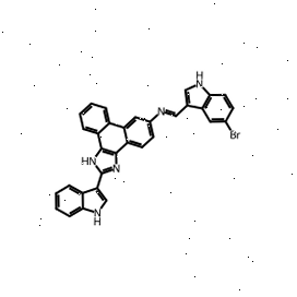 Brc1ccc2[nH]cc(C=Nc3ccc4c(c3)c3ccccc3c3[nH]c(-c5c[nH]c6ccccc56)nc43)c2c1